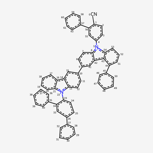 N#Cc1ccc(-n2c3ccc(-c4ccc5c(c4)c4ccccc4n5-c4ccc(-c5ccccc5)cc4-c4ccccc4)cc3c3c(-c4ccccc4)cccc32)cc1-c1ccccc1